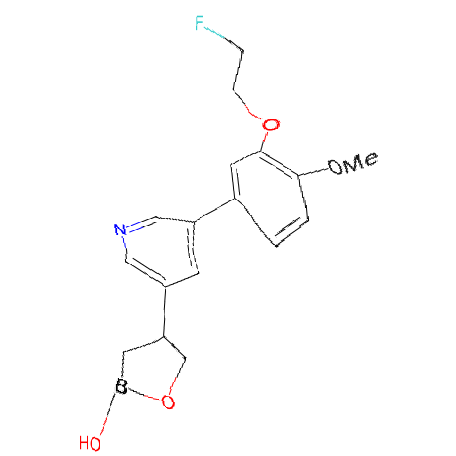 COc1ccc(-c2cncc(C3COB(O)C3)c2)cc1OCCF